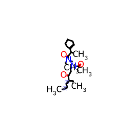 C/C=C\C=C(/CC)C(=O)CCN(CN(CC)C(=O)C(C)C1=CCCCC1)C(C)=O